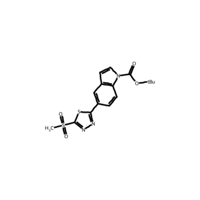 CC(C)(C)OC(=O)n1ccc2cc(-c3nnc(S(C)(=O)=O)s3)ccc21